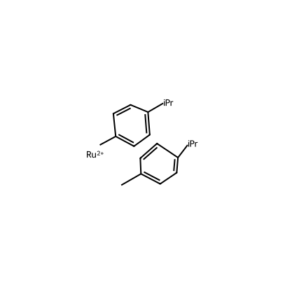 Cc1ccc(C(C)C)cc1.Cc1ccc(C(C)C)cc1.[Ru+2]